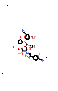 CO[C@@H]1[C@@H](n2cc(-c3ccc(C#N)c(F)c3)nn2)[C@@H](O)[C@@H](CO)O[C@H]1C(=O)N(c1cc(Br)cc(C#N)c1)[C@@H]1CCC[C@H]1O